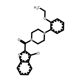 CCOc1ccccc1N1CCN(C(=O)c2sc3ccccc3c2Cl)CC1